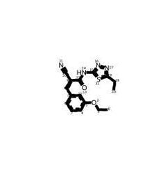 CCOc1cccc(C=C(C#N)C(=O)Nc2nnc(CC)s2)c1